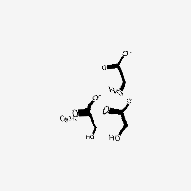 O=C([O-])CO.O=C([O-])CO.O=C([O-])CO.[Ce+3]